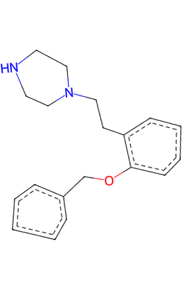 c1ccc(COc2ccccc2CCN2CCNCC2)cc1